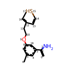 C=C(N)c1cc(C)cc(OCCC(/C=C\S)=C/C)c1